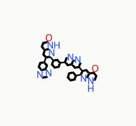 O=c1ccc2cc(-c3ccc4nccnc4c3)c(-c3cccc(-c4cnc5ncc(-c6cc7c(=O)cc[nH]c7nc6-c6ccccc6)cc5c4)c3)nc2[nH]1